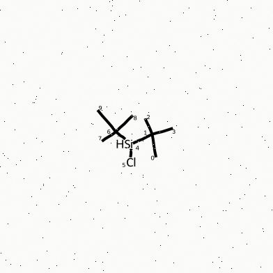 CC(C)(C)[SiH](Cl)C(C)(C)C